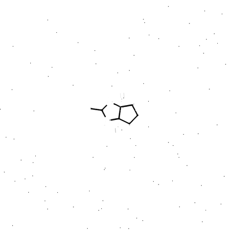 CC1O[C@H]2CCC[C@H]2O1